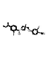 CCC(C)c1ccc([S+]([O-])N2CC(C)(COc3ccc(C#N)c(F)c3)C2)c(F)c1